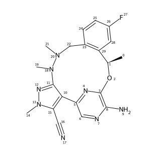 C[C@H]1Oc2nc(cnc2N)-c2c(nn(C)c2C#N)N(C)N(C)Cc2ccc(F)cc21